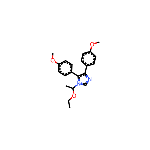 CCOC(C)n1cnc(-c2ccc(OC)cc2)c1-c1ccc(OC)cc1